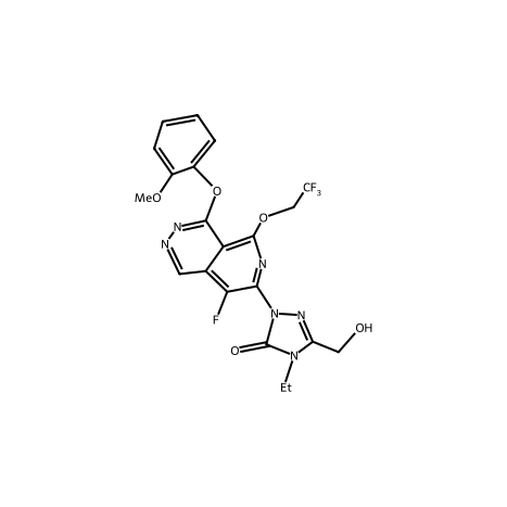 CCn1c(CO)nn(-c2nc(OCC(F)(F)F)c3c(Oc4ccccc4OC)nncc3c2F)c1=O